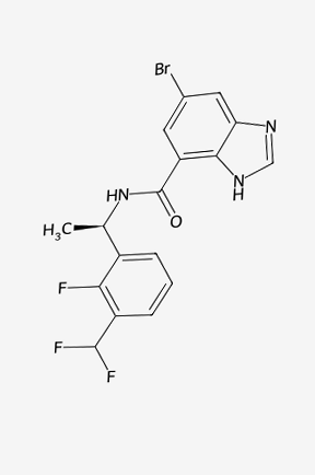 C[C@@H](NC(=O)c1cc(Br)cc2nc[nH]c12)c1cccc(C(F)F)c1F